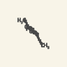 CCCCCCCCCCOc1ccc(C(=O)Oc2ccc(C(=O)CCCCCC)c(F)c2)cc1